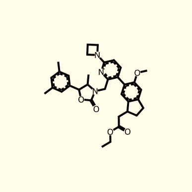 CCOC(=O)CC1CCc2cc(OC)c(-c3ccc(N4CCC4)nc3CN3C(=O)OC(c4cc(C)cc(C)c4)C3C)cc21